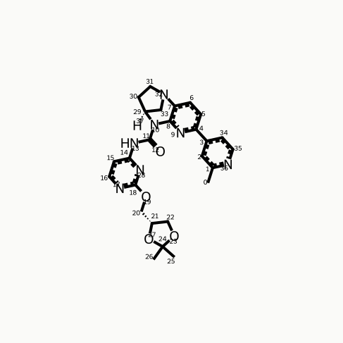 Cc1cc(-c2ccc3c(n2)N(C(=O)Nc2ccnc(OC[C@@H]4COC(C)(C)O4)n2)[C@H]2CCN3C2)ccn1